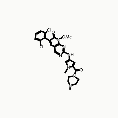 COn1c(=O)c(-c2c(Cl)cccc2Cl)cc2cnc(Nc3cc(C(=O)N4CCN(C)CC4)n(C)c3)nc21